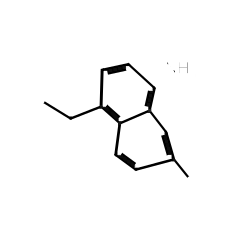 CCc1cccc2cc(C)ccc12.N